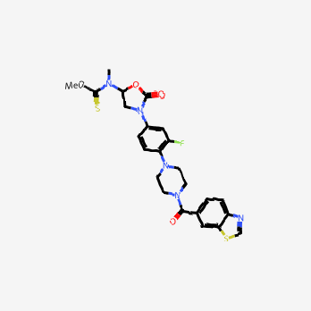 COC(=S)N(C)C1CN(c2ccc(N3CCN(C(=O)c4ccc5ncsc5c4)CC3)c(F)c2)C(=O)O1